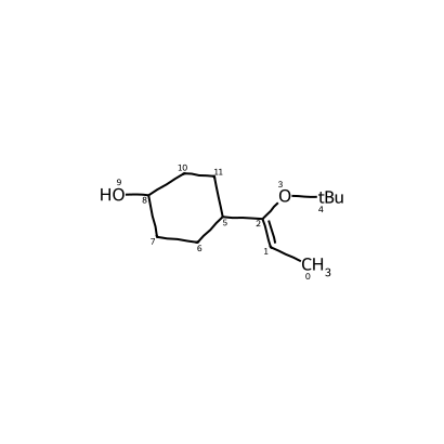 CC=C(OC(C)(C)C)C1CCC(O)CC1